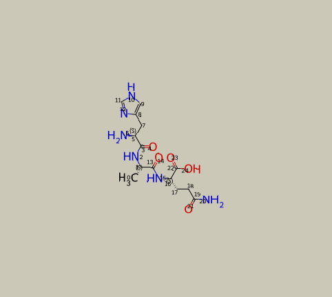 C[C@H](NC(=O)[C@@H](N)Cc1c[nH]cn1)C(=O)N[C@@H](CCC(N)=O)C(=O)O